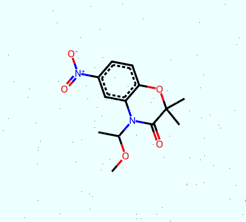 COC(C)N1C(=O)C(C)(C)Oc2ccc([N+](=O)[O-])cc21